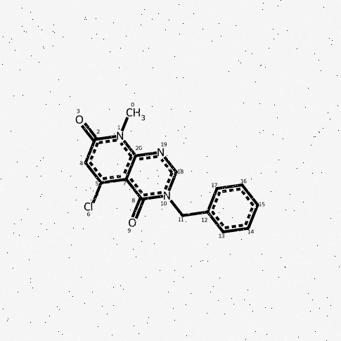 Cn1c(=O)cc(Cl)c2c(=O)n(Cc3ccccc3)cnc21